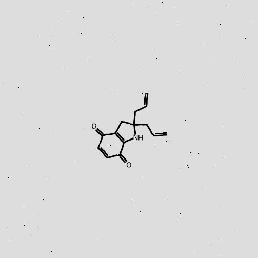 C=CCC1(CC=C)[CH]C2=C(N1)C(=O)C=CC2=O